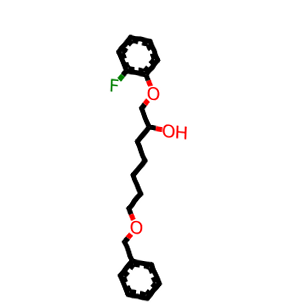 OC(CCCCCOCc1ccccc1)COc1ccccc1F